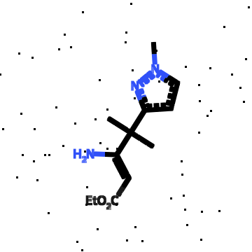 CCOC(=O)C=C(N)C(C)(C)c1ccn(C)n1